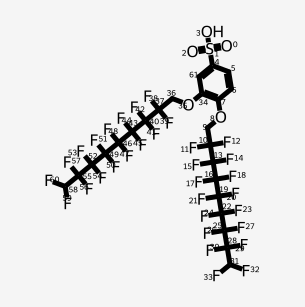 O=S(=O)(O)c1ccc(OCC(F)(F)C(F)(F)C(F)(F)C(F)(F)C(F)(F)C(F)(F)C(F)(F)C(F)F)c(OCC(F)(F)C(F)(F)C(F)(F)C(F)(F)C(F)(F)C(F)(F)C(F)(F)C(F)F)c1